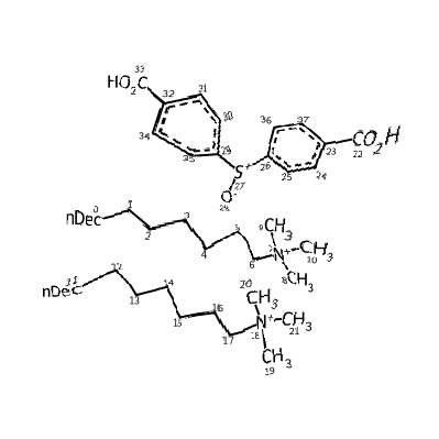 CCCCCCCCCCCCCCCC[N+](C)(C)C.CCCCCCCCCCCCCCCC[N+](C)(C)C.O=C(O)c1ccc([S+]([O-])c2ccc(C(=O)O)cc2)cc1